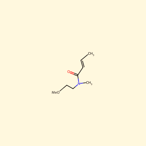 CC=CC(=O)N(C)CCOC